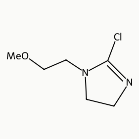 COCCN1CCN=C1Cl